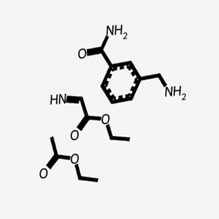 CCOC(=O)C=N.CCOC(C)=O.NCc1cccc(C(N)=O)c1